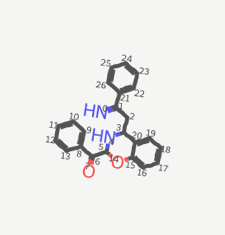 N=C(CC1NC(C(=O)c2ccccc2)Oc2ccccc21)c1ccccc1